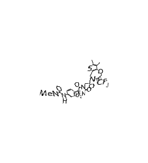 CNC(=O)Nc1ccc2c(c1)CC[C@@H]2C(=O)N(CC(=O)N1Cc2sc(C)c(C)c2OC[C@H]1C(F)(F)F)C(N)=O